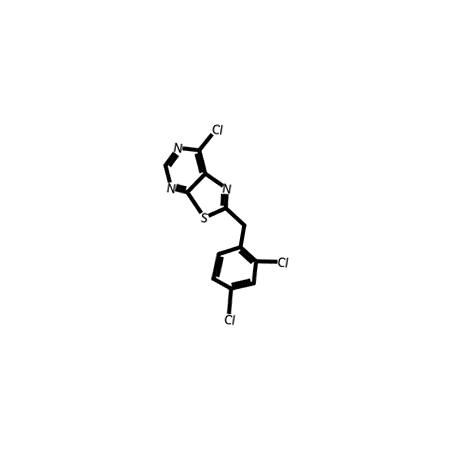 Clc1ccc(Cc2nc3c(Cl)ncnc3s2)c(Cl)c1